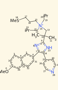 COc1ccc2cc(-c3nc(C(C)(C)C[N+](CCCSC)(CC(C)C)CC(C)C)[nH]c3-c3ccncc3)ccc2c1